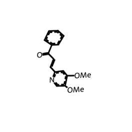 COc1cnc(C=CC(=O)c2ccccc2)cc1OC